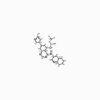 C[C@H](CN(C)C)Oc1cc(-c2cnn(C)c2)cc2ncnc(Nc3cnc4ccccc4c3)c12